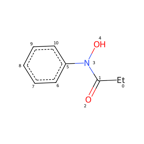 CCC(=O)N(O)c1ccccc1